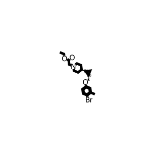 CCOC(=O)CN1CCC([C@H]2C[C@@H]2COc2ccc(Br)c(C)c2)CC1